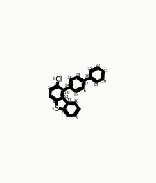 Clc1ccc2sc3ccccc3c2c1-c1ccc(-c2ccccc2)cc1